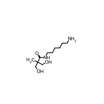 CC(CO)(CO)C(=O)NCCCCCCN